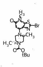 C[C@@H]1CN(c2cc(=O)n(C)c3sc(Br)nc23)[C@@H](C)CN1C(=O)OC(C)(C)C